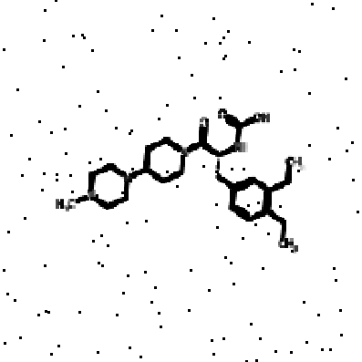 CCc1ccc(C[C@@H](NC(=O)O)C(=O)N2CCC(N3CCN(C)CC3)CC2)cc1CC